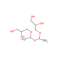 CC(OCC(O)CO)OC(C)OCC(O)CO